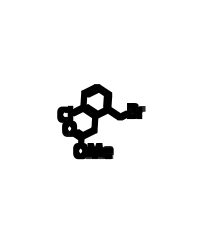 COC(=O)Cc1c(Cl)cccc1CBr